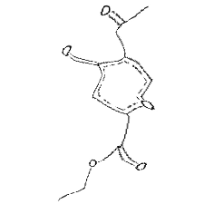 CCOC(=O)c1cc(=O)c(C(C)=O)co1